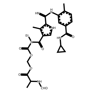 CCN(C(=O)OCOC(=O)C(C)NC=O)C(=O)c1c[nH]c(C(=N)Nc2cc(C(=O)NC3CC3)ccc2C)c1C